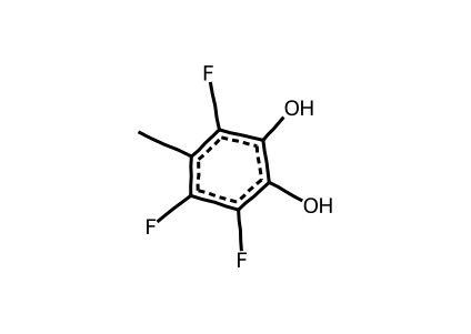 Cc1c(F)c(O)c(O)c(F)c1F